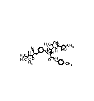 Cc1ccc(CNC(=O)[C@H](COc2cccc(/C=C(\C#N)C(=O)NC(C)(C)C)c2)NC(=O)[C@@H](NC(=O)c2cc(C)on2)C(C)C)cc1